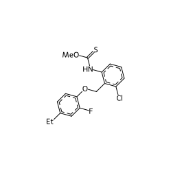 CCc1ccc(OCc2c(Cl)cccc2NC(=S)OC)c(F)c1